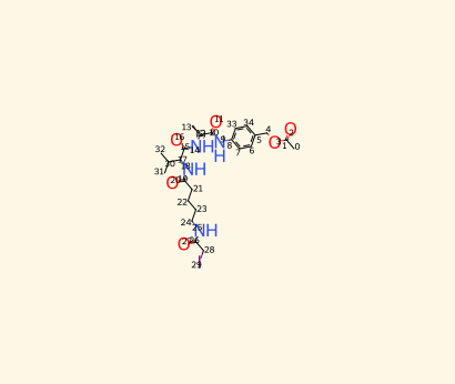 CC(=O)OCc1ccc(NC(=O)[C@H](C)NC(=O)C(NC(=O)CCCCNC(=O)CI)C(C)C)cc1